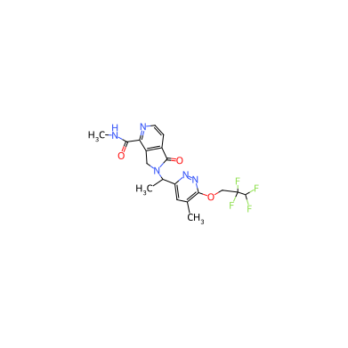 CNC(=O)c1nccc2c1CN(C(C)c1cc(C)c(OCC(F)(F)C(F)F)nn1)C2=O